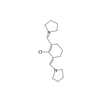 ClC1=C(C=[N+]2CCCC2)CCC/C1=C\N1CCCC1